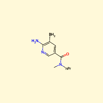 Bc1cc(C(=O)N(C)CCC)cnc1N